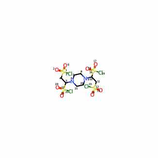 O=S(=O)(Cl)CC(N1CCN(C(CS(=O)(=O)Cl)S(=O)(=O)Cl)CC1)S(=O)(=O)Cl